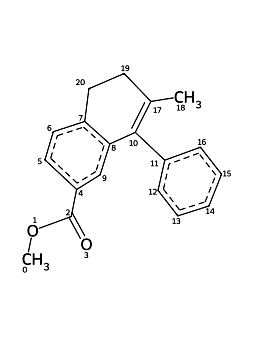 COC(=O)c1ccc2c(c1)C(c1ccccc1)=C(C)CC2